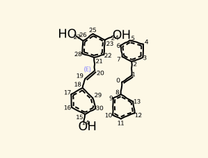 C(=Cc1ccccc1)c1ccccc1.Oc1ccc(/C=C/c2cc(O)cc(O)c2)cc1